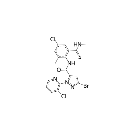 CNC(=S)c1cc(Cl)cc(C)c1NC(=O)c1cc(Br)nn1-c1ncccc1Cl